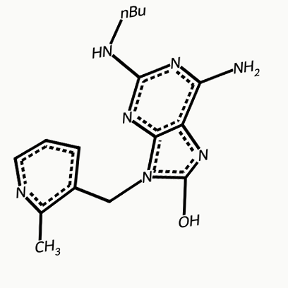 CCCCNc1nc(N)c2nc(O)n(Cc3cccnc3C)c2n1